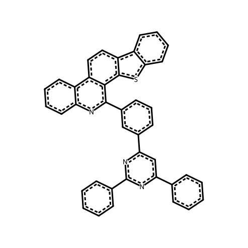 c1ccc(-c2cc(-c3cccc(-c4nc5ccccc5c5ccc6c7ccccc7sc6c45)c3)nc(-c3ccccc3)n2)cc1